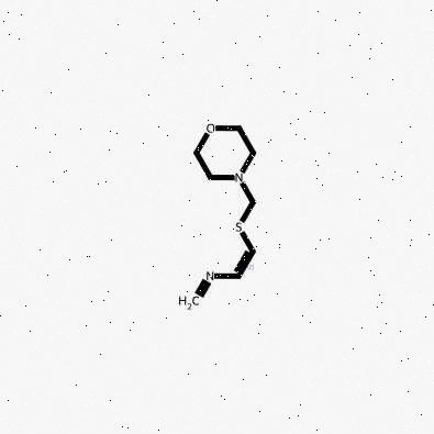 C=N/C=C\SCN1CCOCC1